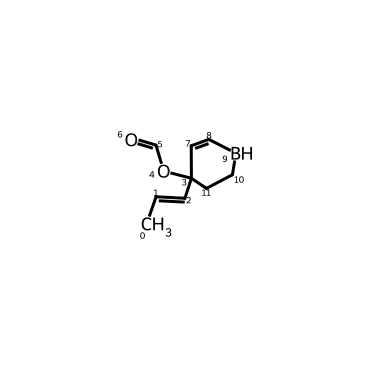 CC=CC1(OC=O)C=CBCC1